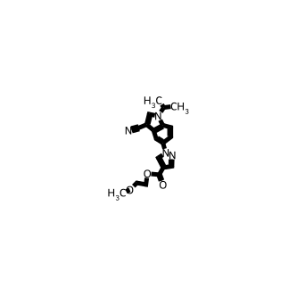 COCCOC(=O)c1cnn(-c2ccc3c(c2)c(C#N)cn3C(C)C)c1